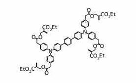 C=C(COC(=O)Cc1ccc(N(c2ccc(CC(=O)OCC(=C)C(=O)OCC)cc2)c2ccc(-c3ccc(-c4ccc(N(c5ccc(CC(=O)OCC(=C)C(=O)OCC)cc5)c5ccc(CC(=O)OCC(=C)C(=O)OCC)cc5)cc4)cc3)cc2)cc1)C(=O)OCC